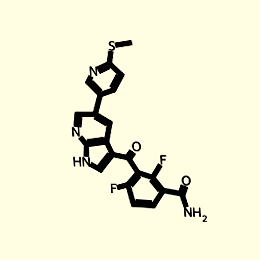 CSc1ccc(-c2cnc3[nH]cc(C(=O)c4c(F)ccc(C(N)=O)c4F)c3c2)cn1